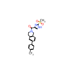 CS(=O)(=O)c1nc(C(=O)N2CCc3cc(-c4ccc(C(F)(F)F)cc4)ccc3C2)c[nH]1